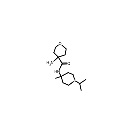 CC(C)N1CCC(C)(NC(=O)C2(N)CCOCC2)CC1